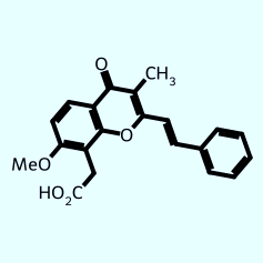 COc1ccc2c(=O)c(C)c(/C=C/c3ccccc3)oc2c1CC(=O)O